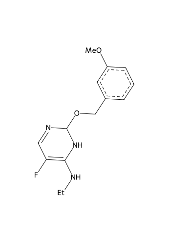 CCNC1=C(F)C=NC(OCc2cccc(OC)c2)N1